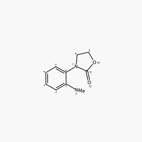 CNc1ccccc1N1CCOC1=O